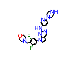 Fc1cc(-n2ccc3cnc(Nc4ccc(N5CCNCC5)nc4)nc32)cc(F)c1CN1CCOCC1